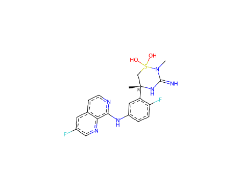 CN1C(=N)N[C@](C)(c2cc(Nc3nccc4cc(F)cnc34)ccc2F)CS1(O)O